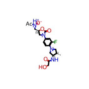 CC(=O)[NH+]([O-])C[C@@H]1CN(c2ccc(N3C[C@H](C)[C@H](NC(=O)CO)C3)c(F)c2)C(=O)O1